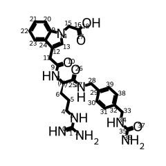 N=C(N)NCCC[C@@H](NC(=O)Cc1cn(CC(=O)O)c2ccccc12)C(=O)NCc1ccc(CNC(N)=O)cc1